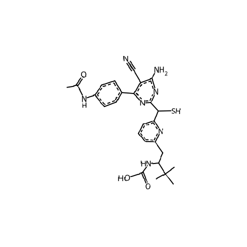 CC(=O)Nc1ccc(-c2nc(C(S)c3cccc(CC(NC(=O)O)C(C)(C)C)n3)nc(N)c2C#N)cc1